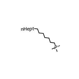 CCCCCCCCCCCCCC[P+](C)(C)C